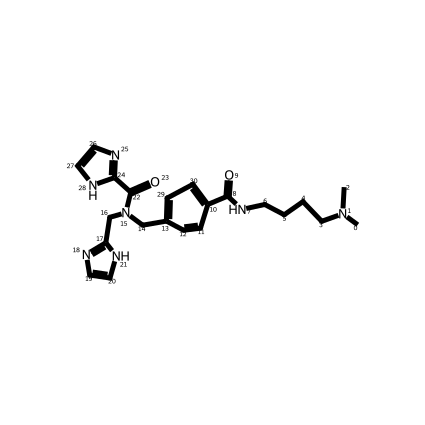 CN(C)CCCCNC(=O)c1ccc(CN(Cc2ncc[nH]2)C(=O)c2ncc[nH]2)cc1